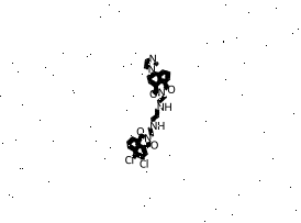 O=C1c2cccc3c(-n4ccnc4)ccc(c23)C(=O)N1CCNCCCNCCN1C(=O)c2cccc3c(Cl)c(Cl)cc(c23)C1=O